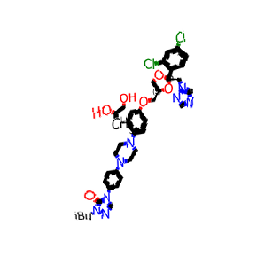 CC(O)CO.CCC(C)n1ncn(-c2ccc(N3CCN(c4ccc(OC[C@H]5CO[C@](Cn6cncn6)(c6ccc(Cl)cc6Cl)O5)cc4)CC3)cc2)c1=O